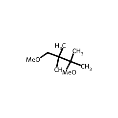 COCC(C)(C)C(C)(C)OC